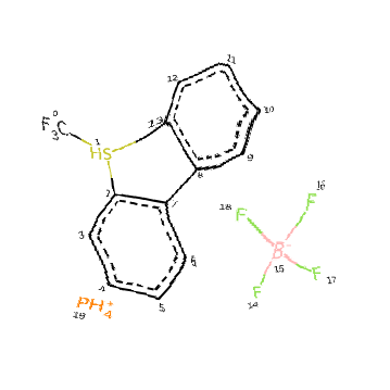 FC(F)(F)[SH]1c2ccccc2-c2ccccc21.F[B-](F)(F)F.[PH4+]